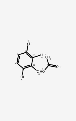 CC(=O)O.Oc1ccc(Cl)c(Cl)c1Cl